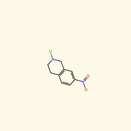 O=[N+]([O-])c1ccc2c(c1)CN(Cl)CC2